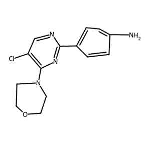 Nc1ccc(-c2ncc(Cl)c(N3CCOCC3)n2)cc1